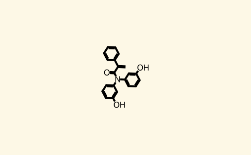 C=C(C(=O)N(c1cccc(O)c1)c1cccc(O)c1)c1ccccc1